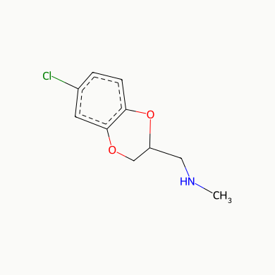 CNCC1COc2cc(Cl)ccc2O1